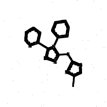 Cc1csc(Sc2nnc(-c3ccccn3)n2-c2ccccc2)n1